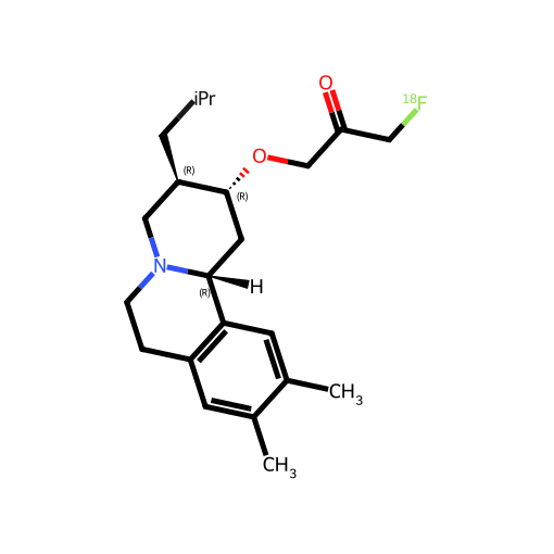 Cc1cc2c(cc1C)[C@H]1C[C@@H](OCC(=O)C[18F])[C@H](CC(C)C)CN1CC2